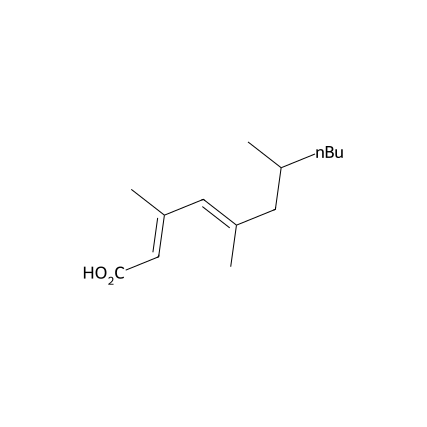 CCCCC(C)CC(C)=CC(C)=CC(=O)O